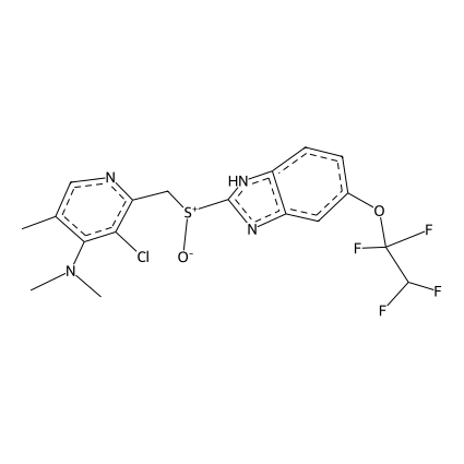 Cc1cnc(C[S+]([O-])c2nc3cc(OC(F)(F)C(F)F)ccc3[nH]2)c(Cl)c1N(C)C